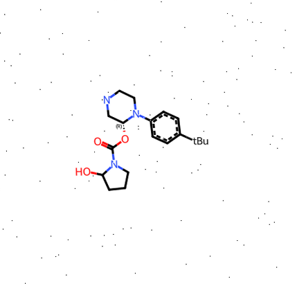 CC(C)(C)c1ccc(N2CC[N]C[C@H]2OC(=O)N2CCCC2O)cc1